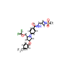 CCS(=O)(=O)N1CC(CNC(=O)c2ccc(N3C[C@@H](Oc4ccc(C(F)(F)F)cc4)C[C@H]3COC(F)F)cc2)C1